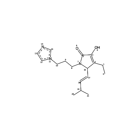 CCC1=C(O)C(=O)N(CCCn2ccnc2)C1C=CC(C)C